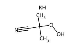 CC(C)(C#N)OO.[KH]